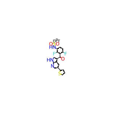 CCCS(=O)(=O)Nc1ccc(F)c(C(=O)c2c[nH]c3ncc(-c4cccs4)cc23)c1F